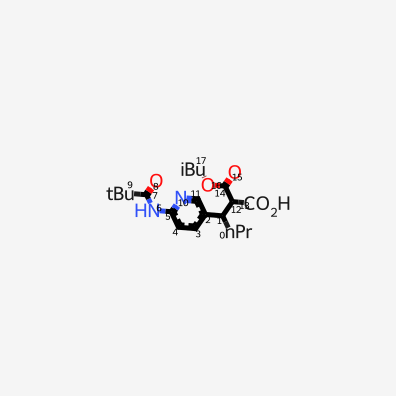 CCCC(c1ccc(NC(=O)C(C)(C)C)nc1)C(C(=O)O)C(=O)OC(C)CC